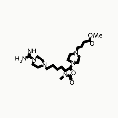 COC(=O)CCCN1CCN(C2OC(=O)N(C)C2CCCCN2CCN(C(=N)N)CC2)CC1